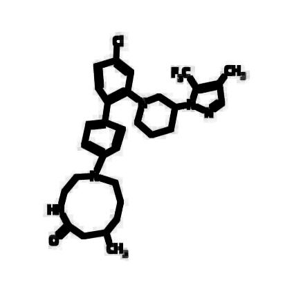 Cc1cnn(C2CCCN(c3cc(Cl)ccc3-c3ccc(N4CCCC(C)CC(=O)NCC4)cc3)C2)c1C(F)(F)F